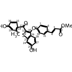 COC(=O)/C=C/c1ccc(Oc2c(C(=O)c3ccc(O)cc3C)sc3cc(O)ccc23)cc1